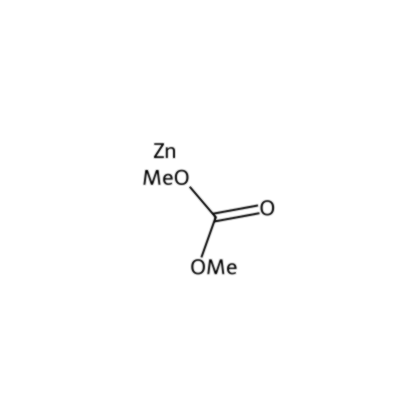 COC(=O)OC.[Zn]